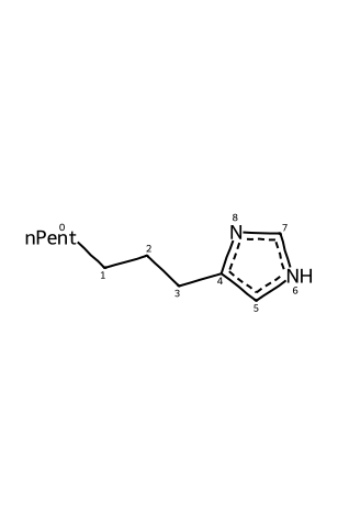 CCCCCCCCc1c[nH]cn1